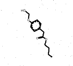 CCCCOC(=O)Cc1ccc(OCO)cc1